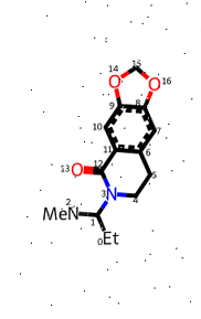 CCC(NC)N1CCc2cc3c(cc2C1=O)OCO3